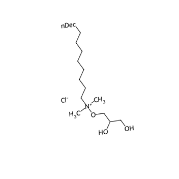 CCCCCCCCCCCCCCCCCC[N+](C)(C)OCC(O)CO.[Cl-]